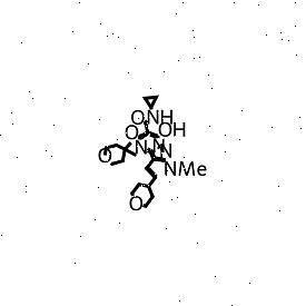 CNc1nn2c(O)c(C(=O)NC3CC3)c(=O)n(CC3(C)CCOCC3)c2c1/C=C/C1CCOCC1